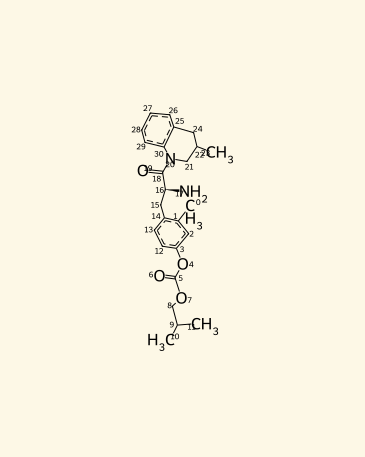 Cc1cc(OC(=O)OCC(C)C)ccc1C[C@H](N)C(=O)N1CC(C)Cc2ccccc21